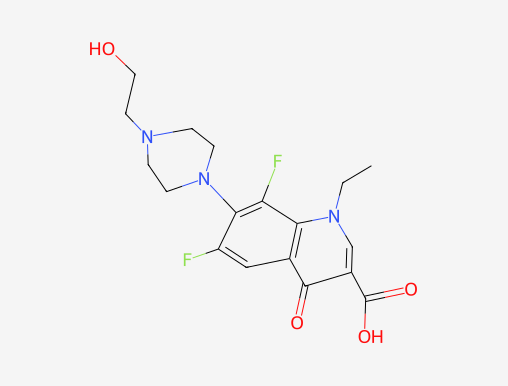 CCn1cc(C(=O)O)c(=O)c2cc(F)c(N3CCN(CCO)CC3)c(F)c21